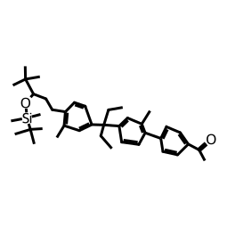 CCC(CC)(c1ccc(CCC(O[Si](C)(C)C(C)(C)C)C(C)(C)C)c(C)c1)c1ccc(-c2ccc(C(C)=O)cc2)c(C)c1